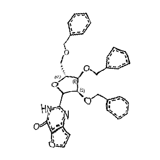 O=c1[nH]c(C2O[C@H](COCc3ccccc3)[C@@H](OCc3ccccc3)[C@H]2OCc2ccccc2)nc2ccoc12